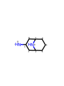 [NH]C1CC2CCCC(C1)N2